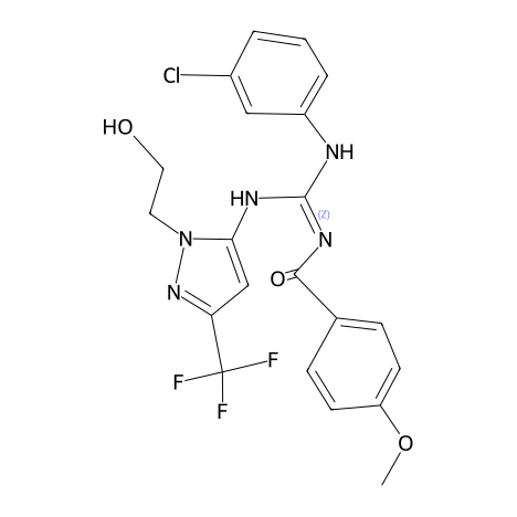 COc1ccc(C(=O)/N=C(/Nc2cccc(Cl)c2)Nc2cc(C(F)(F)F)nn2CCO)cc1